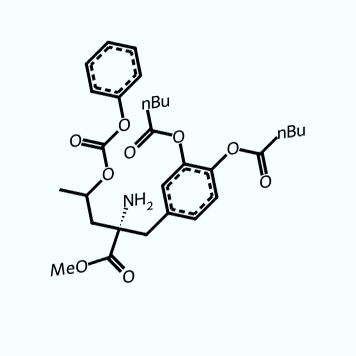 CCCCC(=O)Oc1ccc(C[C@](N)(CC(C)OC(=O)Oc2ccccc2)C(=O)OC)cc1OC(=O)CCCC